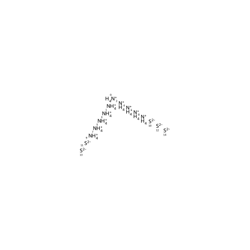 [NH4+].[NH4+].[NH4+].[NH4+].[NH4+].[NH4+].[NH4+].[NH4+].[NH4+].[NH4+].[S-2].[S-2].[S-2].[S-2].[S-2]